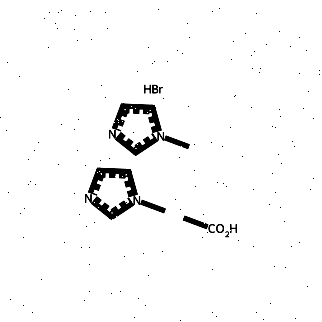 Br.CC(=O)O.Cn1ccnc1.Cn1ccnc1